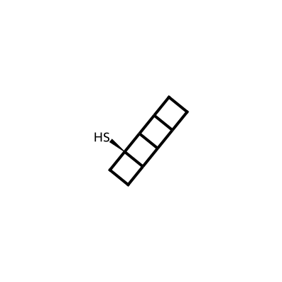 S[C@]12CCC1C1C3CCC3C12